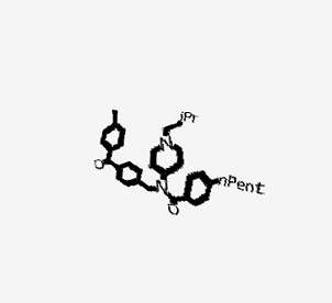 CCCCCc1ccc(C(=O)N(Cc2ccc(C(=O)c3ccc(C)cc3)cc2)C2CCN(CCC(C)C)CC2)cc1